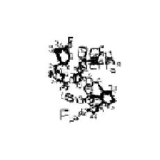 CC(C)(C)OC(=O)c1c(COC[C@@H]2CN(C(=O)c3cnn(Cc4ccc(F)cc4)c3)CC23CN(C(=O)C(C)(C)C(F)(F)F)C3)cccc1-c1ccc(C(F)(F)F)s1